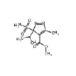 COC(=O)C1=C(C)N=NC1(C(C)C)S(N)(=O)=O